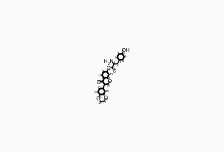 N[C@@H](Cc1ccc(O)cc1)C(=O)Oc1ccc2c(=O)c(-c3ccc4c(c3)OCCO4)coc2c1